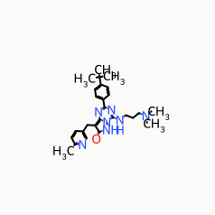 Cc1ccc(Cc2c(=O)[nH]n3c(NCCCN(C)C)nc(-c4ccc(C(C)(C)C)cc4)nc23)cn1